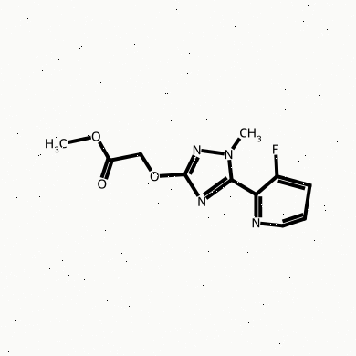 COC(=O)COc1nc(-c2ncccc2F)n(C)n1